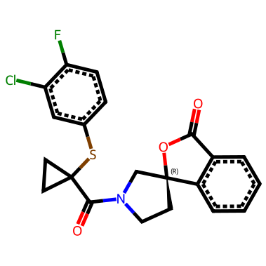 O=C1O[C@]2(CCN(C(=O)C3(Sc4ccc(F)c(Cl)c4)CC3)C2)c2ccccc21